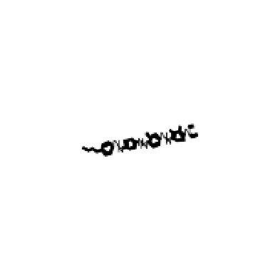 CCCCc1ccc(N=Nc2ccc(N=Nc3ccc(N=Nc4ccc(N(CC)CC)c(C)c4C)cc3C)cc2)cc1